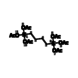 CC(=O)O[Si](CCCC[Si](OC(C)=O)(OC(C)=O)OC(C)=O)(OC(C)=O)OC(C)=O